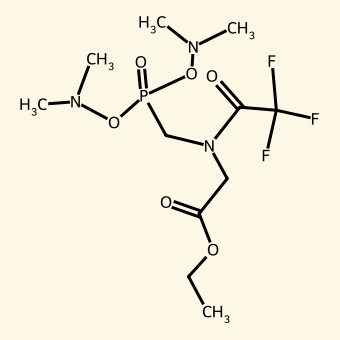 CCOC(=O)CN(CP(=O)(ON(C)C)ON(C)C)C(=O)C(F)(F)F